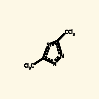 ClC(Cl)(Cl)c1nnc(C(Cl)(Cl)Cl)s1